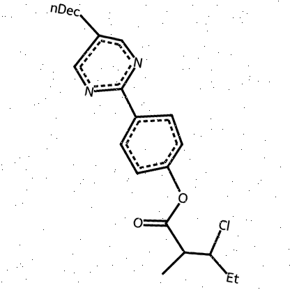 CCCCCCCCCCc1cnc(-c2ccc(OC(=O)C(C)C(Cl)CC)cc2)nc1